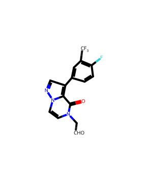 O=CCn1ccn2ncc(-c3ccc(F)c(C(F)(F)F)c3)c2c1=O